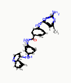 Cc1cc(Nc2ccc(C(=O)Nc3ccc(Nc4ccnc5ccccc45)cc3)cc2)nc(N)n1